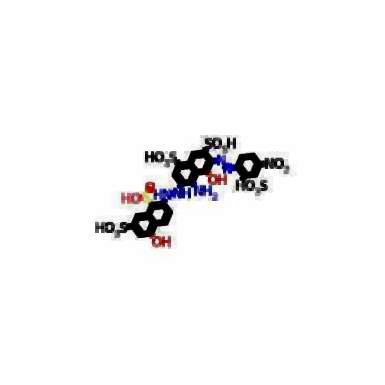 Nc1c(NNc2ccc3c(O)cc(S(=O)(=O)O)cc3c2S(=O)O)cc(S(=O)(=O)O)c2cc(S(=O)(=O)O)c(N=NC3=C(S(=O)(=O)O)C=C([N+](=O)[O-])CC3)c(O)c12